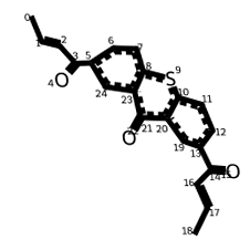 C/C=C/C(=O)c1ccc2sc3ccc(C(=O)/C=C/C)cc3c(=O)c2c1